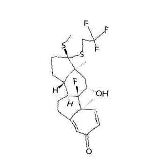 CS[C@]1(SCC(F)(F)F)CC[C@H]2[C@@H]3CCC4=CC(=O)C=C[C@]4(C)[C@@]3(F)[C@@H](O)C[C@@]21C